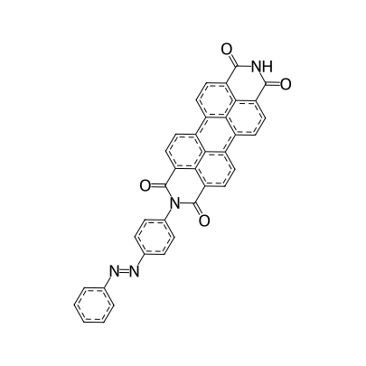 O=C1NC(=O)c2ccc3c4ccc5c6c(ccc(c7ccc1c2c73)c64)C(=O)N(c1ccc(N=Nc2ccccc2)cc1)C5=O